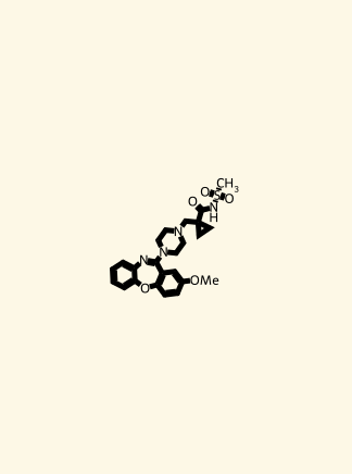 COc1ccc2c(c1)C(N1CCN(CC3(C(=O)NS(C)(=O)=O)CC3)CC1)=Nc1ccccc1O2